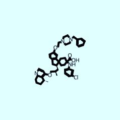 C[C@@H](COc1ccnc2c1[C@H](C)CCC2)C[C@H]1Cc2ccc(OCCN3CCN(Cc4ccccc4)CC3)cc2C12CCC(Nc1cccc(Cl)c1)(C(=O)O)CC2